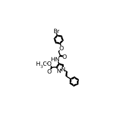 COC(=O)c1nn(C=Cc2ccccc2)cc1NC(=O)COc1ccc(Br)cc1